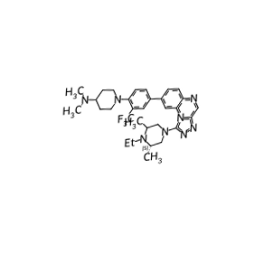 CCN1C(C)CN(c2nnc3cnc4ccc(-c5ccc(N6CCC(N(C)C)CC6)c(C(F)(F)F)c5)cc4n23)C[C@@H]1C